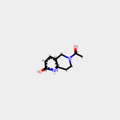 CC(=O)N1CCc2[nH]c(=O)ccc2C1